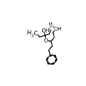 CCC(O)(CC)OC(CCO)CCc1ccccc1